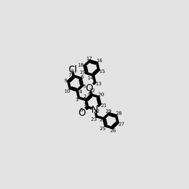 O=c1c(Cc2ccc(Cl)cc2)c(OCc2ccccc2)ccn1Cc1ccccc1